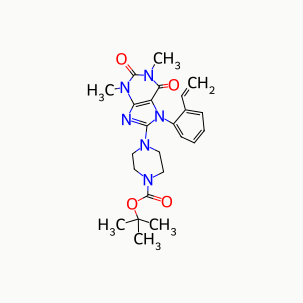 C=Cc1ccccc1-n1c(N2CCN(C(=O)OC(C)(C)C)CC2)nc2c1c(=O)n(C)c(=O)n2C